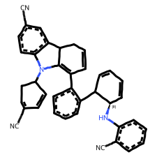 N#CC1=CCC(N2C3=C(c4ccccc4C4C=CC=C[C@H]4Nc4ccccc4C#N)C=CCC3c3cc(C#N)ccc32)C=C1